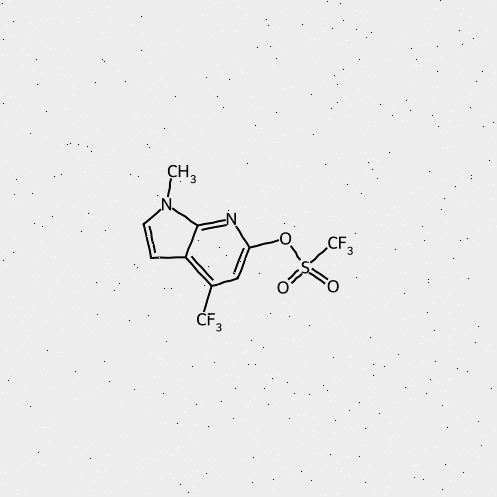 Cn1ccc2c(C(F)(F)F)cc(OS(=O)(=O)C(F)(F)F)nc21